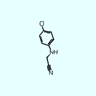 N#CCNc1ccc(Cl)cc1